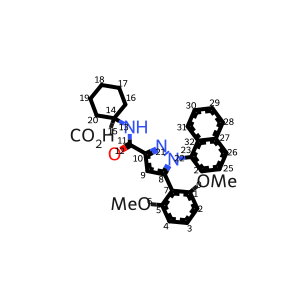 COc1cccc(OC)c1-c1cc(C(=O)NC2(C(=O)O)CCCCC2)nn1-c1cccc2ccccc12